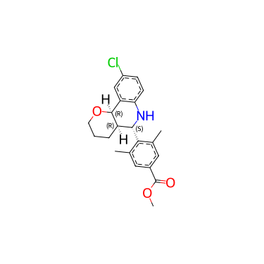 COC(=O)c1cc(C)c([C@H]2Nc3ccc(Cl)cc3[C@@H]3OCCC[C@H]23)c(C)c1